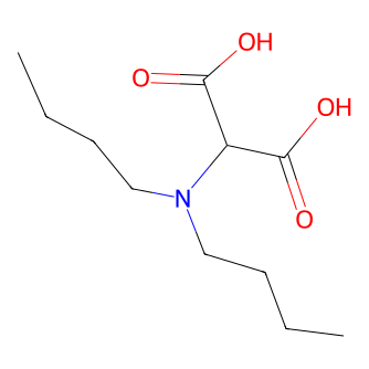 CCCCN(CCCC)C(C(=O)O)C(=O)O